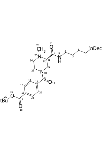 CCCCCCCCCCCCCCNC(=O)[C@H]1CN(C(=O)c2ccc(C(=O)OC(C)(C)C)cc2)CCN1C